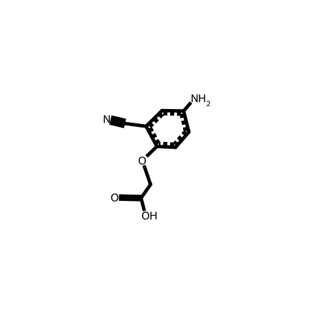 N#Cc1cc(N)ccc1OCC(=O)O